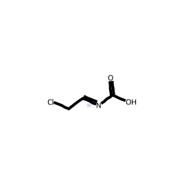 O=C(O)/N=C/CCl